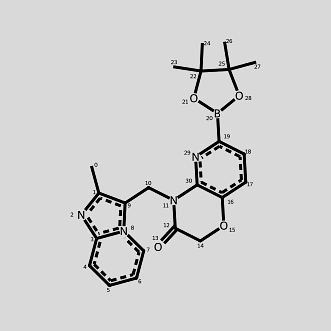 Cc1nc2ccccn2c1CN1C(=O)COc2ccc(B3OC(C)(C)C(C)(C)O3)nc21